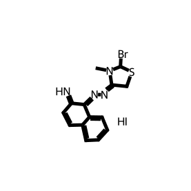 CN1C(=NN=C2C(=N)C=Cc3ccccc32)CSC1Br.I